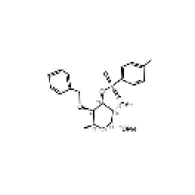 CO[C@@H]1O[C@@H](C)[C@@H](OCc2ccccc2)[C@@H](OS(=O)(=O)c2ccc(C)cc2)[C@@H]1OC(C)=O